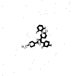 CN1CCC(c2nc(-c3ccc(=O)n(-c4c(F)cccc4F)c3)c(-c3ccc(F)cc3F)o2)CC1